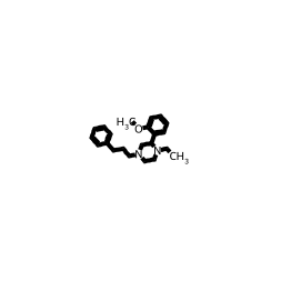 CCN1CCN(CCCc2ccccc2)CC1c1ccccc1OC